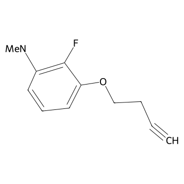 C#CCCOc1cccc(NC)c1F